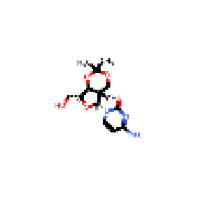 CC1(C)OCC2(C)C(O1)[C@@H](CO)O[C@H]2n1ccc(N)nc1=O